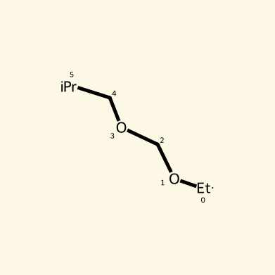 C[CH]OCOCC(C)C